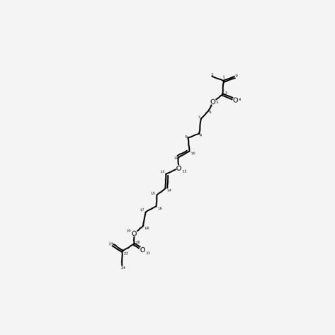 C=C(C)C(=O)OCCCCC=COC=CCCCCOC(=O)C(=C)C